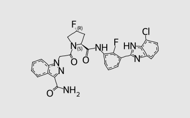 NC(=O)c1nn(CC(=O)N2C[C@H](F)C[C@H]2C(=O)Nc2cccc(-c3nc4cccc(Cl)c4[nH]3)c2F)c2ccccc12